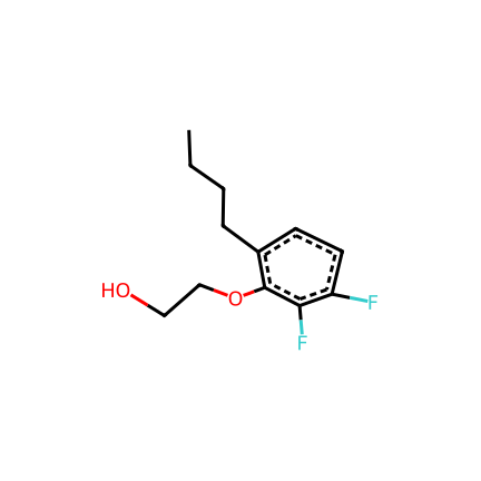 CCCCc1ccc(F)c(F)c1OCCO